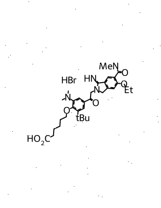 Br.CCOc1cc2c(cc1C(=O)NC)C(=N)N(CC(=O)c1cc(N(C)C)c(OCCCCCC(=O)O)c(C(C)(C)C)c1)C2